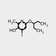 CCC(CC)Oc1cc(I)c(O)c(C)n1